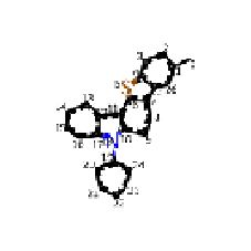 Cc1ccc2sc3c(ccc4c3c3ccccc3n4-c3ccccc3)c2c1